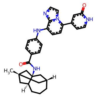 C[C@@]12C[C@H]3CCC[C@@H](C1)[C@@](NC(=O)c1ccc(Nc4ccc(-c5cc[nH]c(=O)c5)n5ccnc45)cc1)(C3)C2